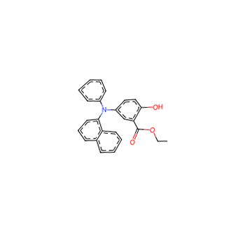 CCOC(=O)c1cc(N(c2ccccc2)c2cccc3ccccc23)ccc1O